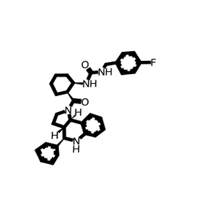 O=C(NCc1ccc(F)cc1)N[C@@H]1CCCC[C@@H]1C(=O)N1CC[C@H]2[C@H](c3ccccc3)Nc3ccccc3[C@@H]21